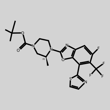 C[C@H]1CN(C(=O)OC(C)(C)C)CCN1c1nc2cc(F)c(C(F)(F)F)c(-c3nccs3)c2o1